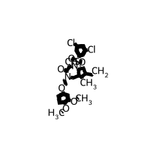 C=CC1CC2C(CN(CCOc3ccc(OC)c(OC)c3)C(=O)C(C)N2S(=O)(=O)c2cc(Cl)cc(Cl)c2)C1C